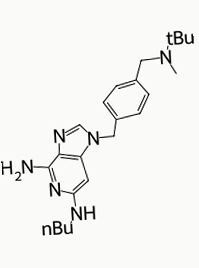 CCCCNc1cc2c(ncn2Cc2ccc(CN(C)C(C)(C)C)cc2)c(N)n1